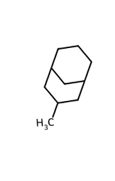 CC1CC2CCCC(C1)C2